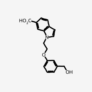 O=C(O)c1ccc2ccn(CCOc3cccc(CO)c3)c2c1